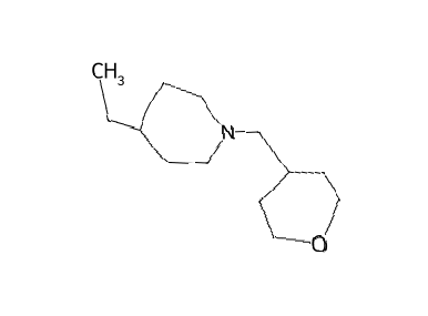 CCC1CCN(CC2CCOCC2)CC1